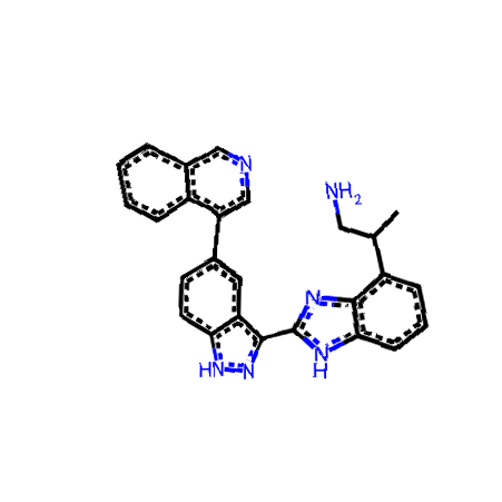 CC(CN)c1cccc2[nH]c(-c3n[nH]c4ccc(-c5cncc6ccccc56)cc34)nc12